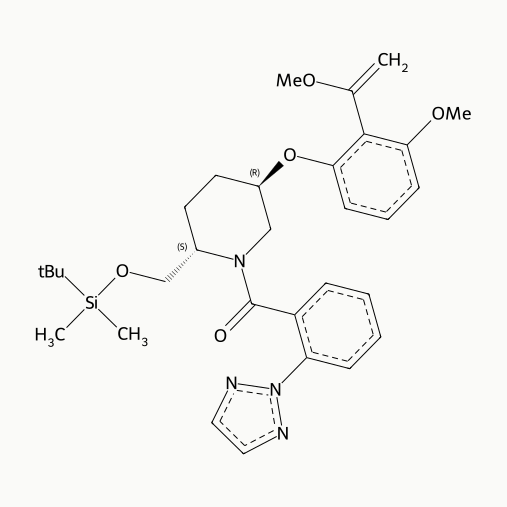 C=C(OC)c1c(OC)cccc1O[C@@H]1CC[C@@H](CO[Si](C)(C)C(C)(C)C)N(C(=O)c2ccccc2-n2nccn2)C1